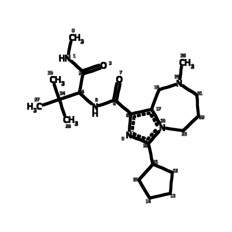 CNC(=O)C(NC(=O)c1nc(C2CCCC2)n2c1CN(C)CCC2)C(C)(C)C